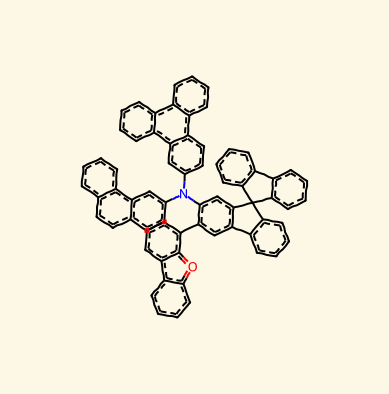 c1ccc2c(c1)-c1ccccc1C21c2ccccc2-c2cc(-c3cccc4c3oc3ccccc34)c(N(c3ccc4ccc5ccccc5c4c3)c3ccc4c5ccccc5c5ccccc5c4c3)cc21